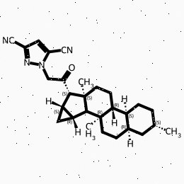 C[C@H]1CC[C@H]2[C@H](CC[C@@]3(C)C4[C@@H]5C[C@@H]5[C@H](C(=O)Cn5nc(C#N)cc5C#N)[C@@]4(C)CC[C@H]23)C1